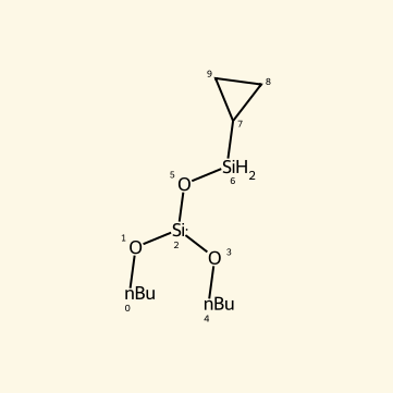 CCCCO[Si](OCCCC)O[SiH2]C1CC1